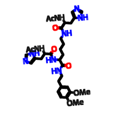 COc1ccc(CCNC(=O)C(CCCCNC(=O)C(Cc2cnc[nH]2)NC(C)=O)NC(=O)C(Cc2cnc[nH]2)NC(C)=O)cc1OC